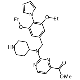 CCOc1cc(CN(c2nccc(C(=O)OC)n2)C2CCNCC2)cc(OCC)c1-n1cccc1